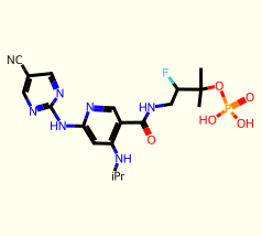 CC(C)Nc1cc(Nc2ncc(C#N)cn2)ncc1C(=O)NCC(F)C(C)(C)OP(=O)(O)O